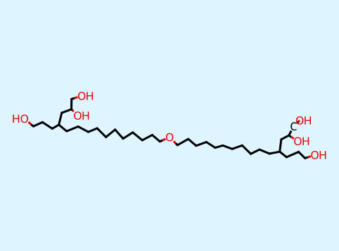 OCCCC(CCCCCCCCCCCOCCCCCCCCCCCC(CCCO)CC(O)CO)CC(O)CO